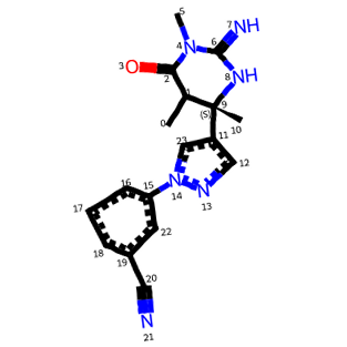 CC1C(=O)N(C)C(=N)N[C@]1(C)c1cnn(-c2cccc(C#N)c2)c1